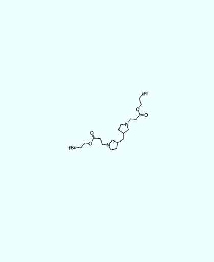 CC(C)CCOC(=O)CCN1CCC(CC2CCN(CCC(=O)OCCC(C)(C)C)C2)C1